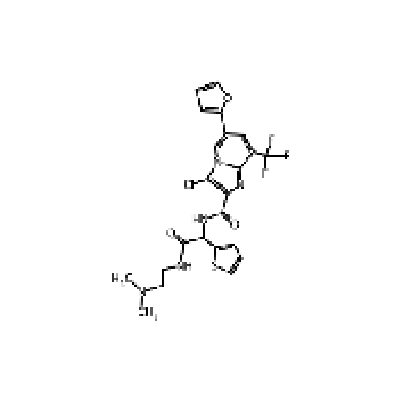 CN(C)CCNC(=O)C(NC(=O)c1nc2c(C(F)(F)F)cc(-c3ccco3)cn2c1Cl)c1cccs1